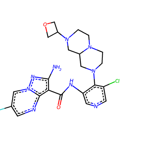 Nc1nn2cc(F)cnc2c1C(=O)Nc1cncc(Cl)c1N1CCN2CCN(C3COC3)CC2C1